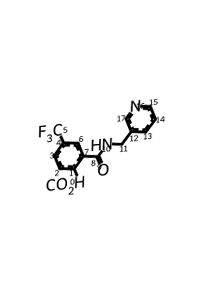 O=C(O)c1ccc(C(F)(F)F)cc1C(=O)NCc1cccnc1